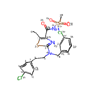 Cc1sc(N(CCc2ccc(Cl)cc2)Cc2cccc(Cl)c2)nc1C(=O)NS(C)(=O)=O